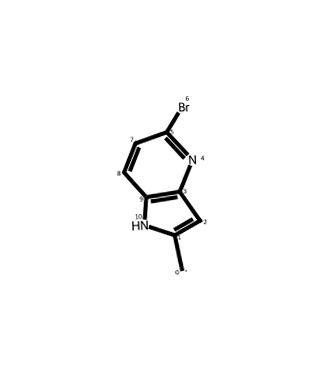 [CH2]c1cc2nc(Br)ccc2[nH]1